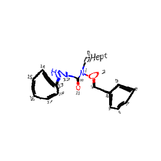 CCCCCCCN(OCc1ccccc1)C(=O)Nc1ccccc1